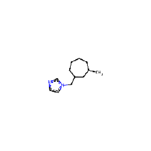 CC1CCCCC(Cn2ccnc2)C1